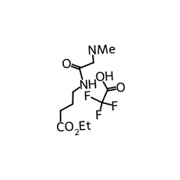 CCOC(=O)CCCNC(=O)CNC.O=C(O)C(F)(F)F